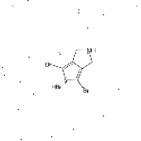 Br.Brc1sc(Br)c2c1CNC2